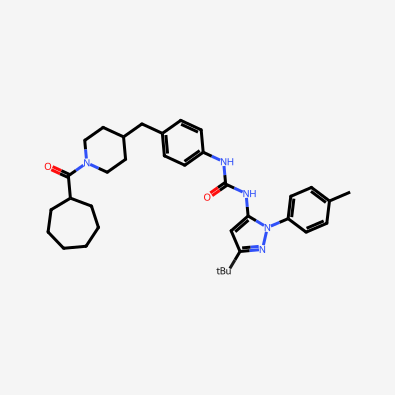 Cc1ccc(-n2nc(C(C)(C)C)cc2NC(=O)Nc2ccc(CC3CCN(C(=O)C4CCCCCC4)CC3)cc2)cc1